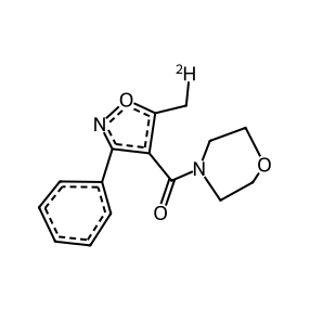 [2H]Cc1onc(-c2ccccc2)c1C(=O)N1CCOCC1